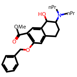 CCCN(CCC)C1CCc2cc(OCc3ccccc3)c(C(=O)OC)cc2C1O